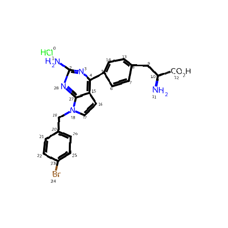 Cl.Nc1nc(-c2ccc(CC(N)C(=O)O)cc2)c2ccn(Cc3ccc(Br)cc3)c2n1